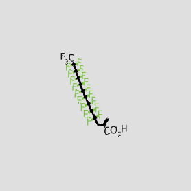 C=C(CC(F)(F)C(F)(F)C(F)(F)C(F)(F)C(F)(F)C(F)(F)C(F)(F)C(F)(F)C(F)(F)C(F)(F)F)C(=O)O